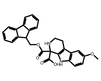 COc1ccc2[nH]c3c(c2c1)CCNC3(C(=O)O)C(=O)OCC1c2ccccc2-c2ccccc21